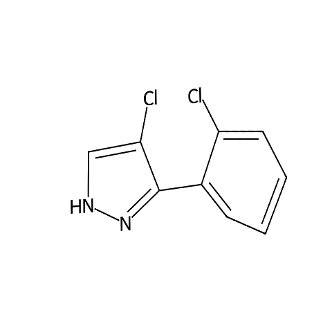 Clc1ccccc1-c1n[nH]cc1Cl